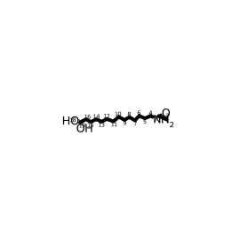 C1CO1.NCCCCCCCCCCCCCC(O)O